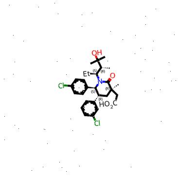 CC[C@@H]([C@@H](C)C(C)(C)O)N1C(=O)[C@@](C)(CC(=O)O)C[C@H](c2cccc(Cl)c2)[C@H]1c1ccc(Cl)cc1